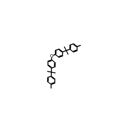 Cc1ccc(C(C)(C)c2ccc(Oc3ccc(C(C)(C)c4ccc(C)cc4)cc3)cc2)cc1